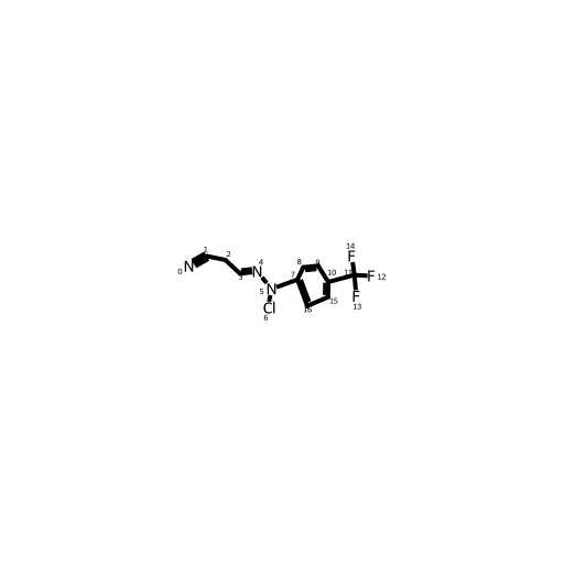 N#CCC=NN(Cl)c1ccc(C(F)(F)F)cc1